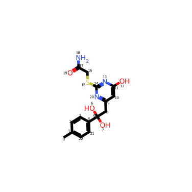 Cc1ccc(C(O)(O)Cc2cc(O)nc(SCC(N)=O)n2)cc1